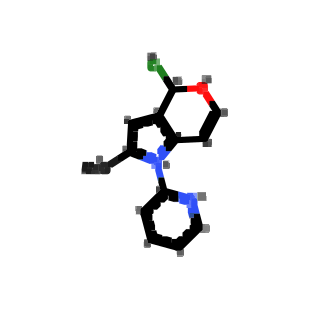 COc1cc2c(n1-c1ccccn1)C=COC2Cl